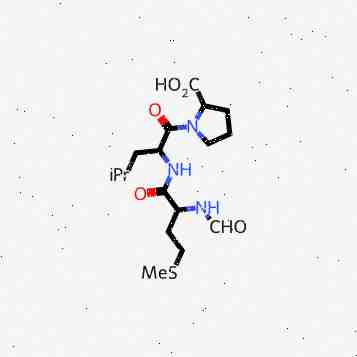 CSCCC(NC=O)C(=O)NC(CC(C)C)C(=O)N1CCCC1C(=O)O